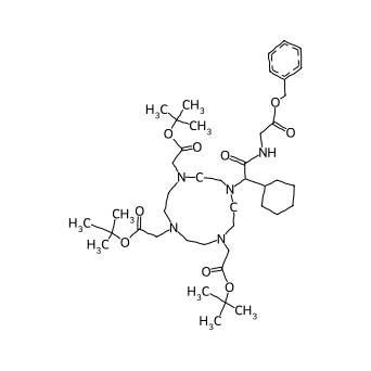 CC(C)(C)OC(=O)CN1CCN(CC(=O)OC(C)(C)C)CCN(C(C(=O)NCC(=O)OCc2ccccc2)C2CCCCC2)CCN(CC(=O)OC(C)(C)C)CC1